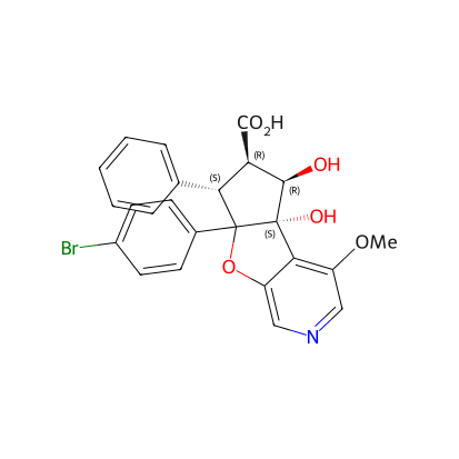 COc1cncc2c1[C@]1(O)[C@H](O)[C@H](C(=O)O)[C@@H](c3ccccc3)C1(c1ccc(Br)cc1)O2